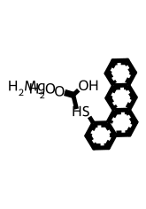 CC(=O)O.O.Sc1cccc2ccc3cc4ccccc4cc3c12.[MgH2]